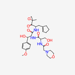 COc1ccc(C(O)C(NC(=O)C(CO)NC(=O)CN2CCOCC2)C(=O)NC(CC2=CCCC2)C(=O)C2(C)CO2)cc1